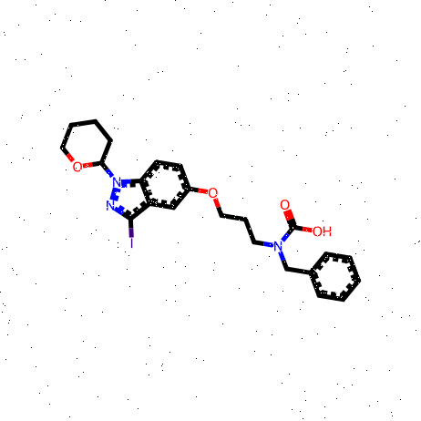 O=C(O)N(CCCOc1ccc2c(c1)c(I)nn2C1CCCCO1)Cc1ccccc1